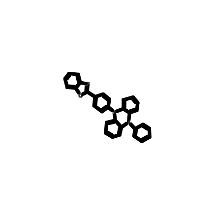 c1ccc(B2c3ccccc3N(c3ccc(-c4nc5ccccc5o4)cc3)c3ccccc32)cc1